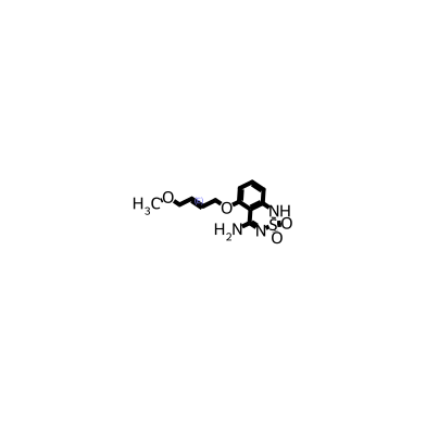 COC/C=C/COc1cccc2c1C(N)=NS(=O)(=O)N2